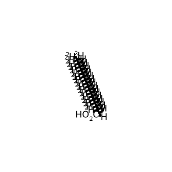 [2H]CC(C[2H])(C[2H])C(C[2H])(C[2H])C(C[2H])(C[2H])C(C[2H])(C[2H])C(C[2H])(C[2H])C(C[2H])(C[2H])C(C[2H])(C[2H])C(C[2H])(C[2H])C(C[2H])(C[2H])C(C[2H])(C[2H])C(C[2H])(C[2H])C(C[2H])(C[2H])C(C[2H])(C[2H])C(C[2H])(C[2H])C(C[2H])(C[2H])C(C[2H])(C[2H])C(C[2H])(C[2H])C(=O)O